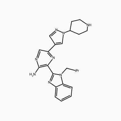 CC(C)Cn1c(-c2nc(-c3cnn(C4CCNCC4)c3)cnc2N)nc2ccccc21